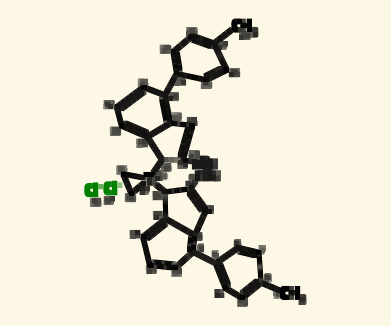 CCCCC1=Cc2c(-c3ccc(C)cc3)cccc2[CH]1[Ti+2]1([CH]2C(CCCC)=Cc3c(-c4ccc(C)cc4)cccc32)[CH2][CH2]1.[Cl-].[Cl-]